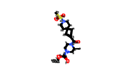 C[C@H]1CN(C(=O)OC(C)(C)C)CCN1C(=O)C1CC2(CCN(S(C)(=O)=O)CC2)C1